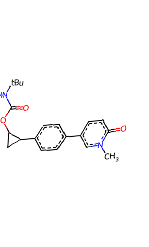 Cn1cc(-c2ccc(C3CC3OC(=O)NC(C)(C)C)cc2)ccc1=O